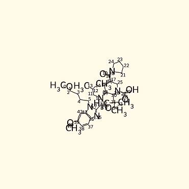 COCCCCn1c(C(=O)N(CC(C)C)[C@H]2C[C@@H](C(=O)N3CCCC3)CN(C(=O)O)C2C(C)(C)C)nc2ccc(OC)cc21